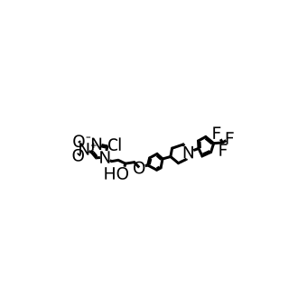 O=[N+]([O-])c1cn(CCC(O)COc2ccc(C3CCN(c4ccc(C(F)(F)F)cc4)CC3)cc2)c(Cl)n1